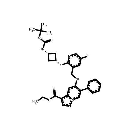 CCOC(=O)c1cnn2cc(-c3ccccc3)c(NCc3cc(F)cnc3O[C@H]3C[C@@H](NC(=O)OC(C)(C)C)C3)cc12